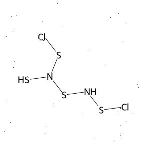 SN(SCl)SNSCl